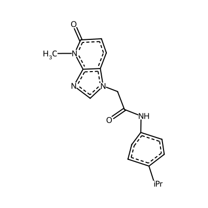 CC(C)c1ccc(NC(=O)Cn2cnc3c2ccc(=O)n3C)cc1